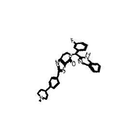 CN1CCC(c2ccc(-c3nc4ccn(C(c5cccc(F)c5)c5nc6ccccc6[nH]5)c(=O)c4s3)cc2)CC1